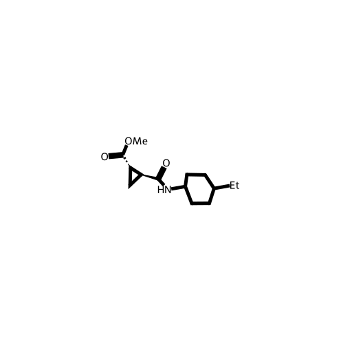 CCC1CCC(NC(=O)[C@H]2C[C@@H]2C(=O)OC)CC1